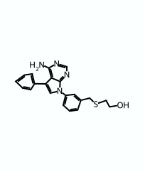 Nc1ncnc2c1c(-c1ccccc1)cn2-c1cccc(CSCCO)c1